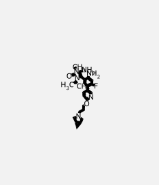 CC(C)n1c(-c2cc(-c3ccc(OCCCN4CC5CC5C4)nc3)c(F)cc2N)c(N)n(C)c1=O